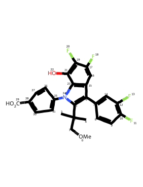 COCC(C)(C)c1c(-c2ccc(F)c(F)c2)c2cc(F)c(F)c(O)c2n1-c1ccc(C(=O)O)cc1